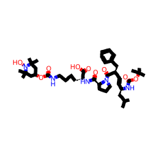 CC(C)C[C@@H](/C=C/[C@H](Cc1ccccc1)C(=O)N1CCC[C@H]1C(=O)N[C@H](CCCCNC(=O)OC1CC(C)(C)N(O)C(C)(C)C1)C(=O)O)NC(=O)OC(C)(C)C